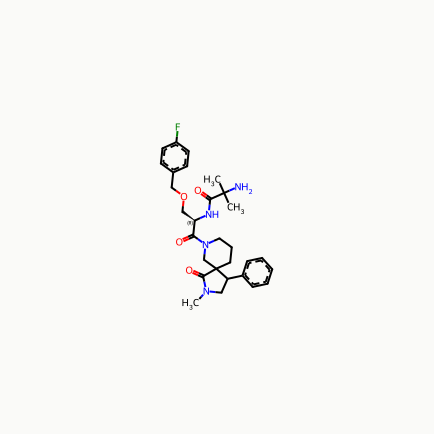 CN1CC(c2ccccc2)C2(CCCN(C(=O)[C@@H](COCc3ccc(F)cc3)NC(=O)C(C)(C)N)C2)C1=O